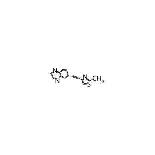 Cc1nc(C#Cc2ccc3nccnc3c2)cs1